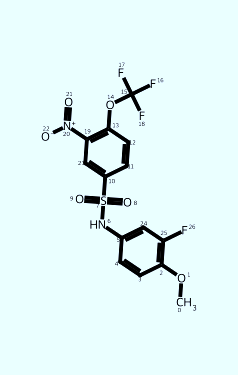 COc1ccc(NS(=O)(=O)c2ccc(OC(F)(F)F)c([N+](=O)[O-])c2)cc1F